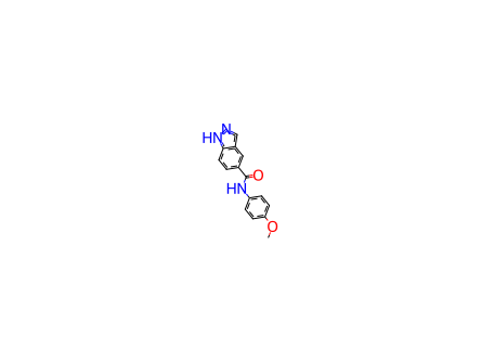 COc1ccc(NC(=O)c2ccc3[nH]ncc3c2)cc1